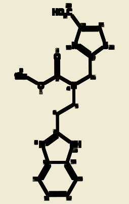 CC(C)(C)OC(=O)N(CCc1nc2ccccc2[nH]1)Cc1nc(C(=O)O)cs1